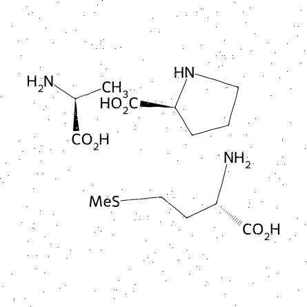 CSCC[C@H](N)C(=O)O.C[C@H](N)C(=O)O.O=C(O)[C@@H]1CCCN1